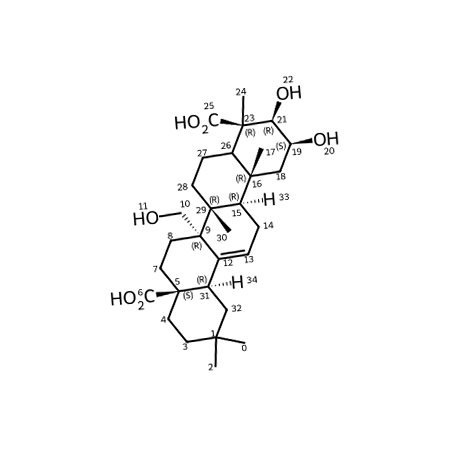 CC1(C)CC[C@]2(C(=O)O)CC[C@]3(CO)C(=CC[C@@H]4[C@@]5(C)C[C@H](O)[C@H](O)[C@](C)(C(=O)O)C5CC[C@]43C)[C@H]2C1